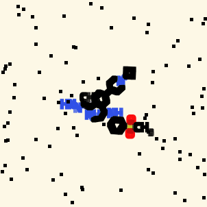 C/C(N=N)=C1/NCCC(Nc2cccc(S(C)(=O)=O)c2)c2cc(C3=CCN(C4CCC4)CC3)ccc21